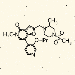 CC(C)Oc1cnccc1-c1cn(C)c(=O)c2cc(CN3CCN(S(C)(=O)=O)CC3C)oc12